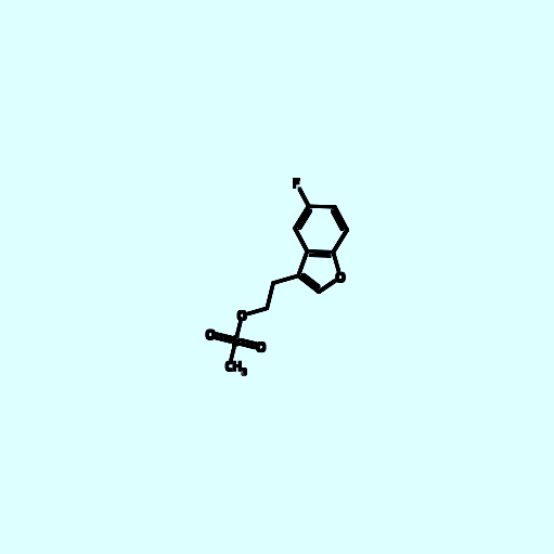 CS(=O)(=O)OCCc1coc2ccc(F)cc12